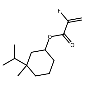 C=C(F)C(=O)OC1CCCC(C)(C(C)C)C1